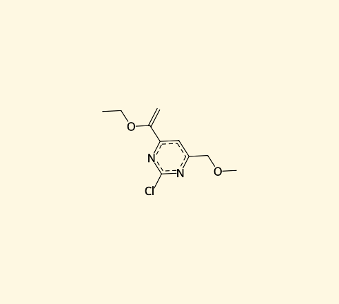 C=C(OCC)c1cc(COC)nc(Cl)n1